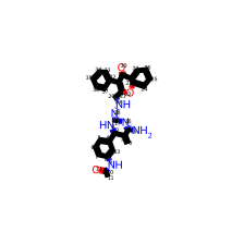 C=C(C(=N)c1cccc(NC(C)=O)c1)/C(N)=N\C=N/NCc1oc2ccccc2c(=O)c1-c1ccccc1